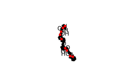 Cn1nccc1C(=O)NCC(O)CN1CCc2cc(OCc3cccc(C(=O)NCC(O)CN4CCc5ccccc5C4)c3)ccc2C1